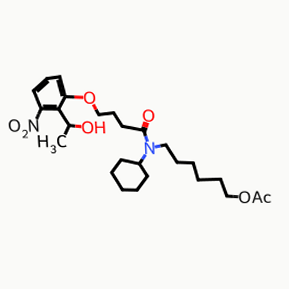 CC(=O)OCCCCCCN(C(=O)CCCOc1cccc([N+](=O)[O-])c1C(C)O)C1CCCCC1